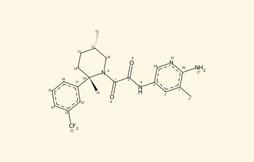 Cc1cc(NC(=O)C(=O)N2C[C@@H](C)CC[C@@]2(C)c2cccc(C(F)(F)F)c2)cnc1N